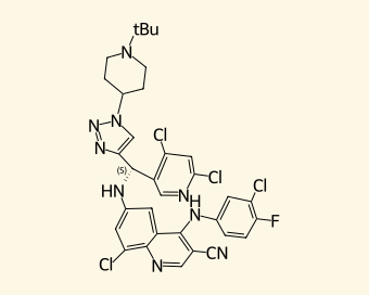 CC(C)(C)N1CCC(n2cc([C@@H](Nc3cc(Cl)c4ncc(C#N)c(Nc5ccc(F)c(Cl)c5)c4c3)c3cnc(Cl)cc3Cl)nn2)CC1